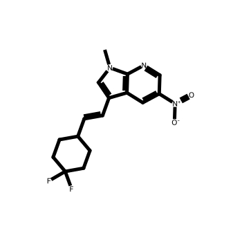 Cn1cc(C=CC2CCC(F)(F)CC2)c2cc([N+](=O)[O-])cnc21